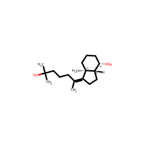 CC(CCCC(C)(C)O)=C1CC[C@H]2[C@@H](O)CCC[C@]12C